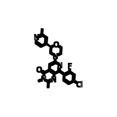 Cc1cc([C@@H]2CN(c3cc4c(=O)n(C)c(C)nc4c(-c4ccc(Cl)cc4F)n3)CCO2)ccn1